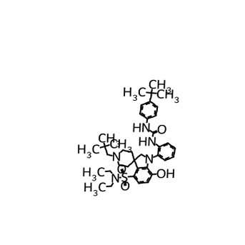 CCN(CC)S(=O)(=O)c1ccc(O)c2c1C1(CCN(CC(C)(C)C)CC1)CN2c1ccccc1NC(=O)Nc1ccc(C(C)(C)C)cc1